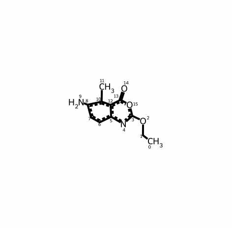 CCOc1nc2ccc(N)c(C)c2c(=O)o1